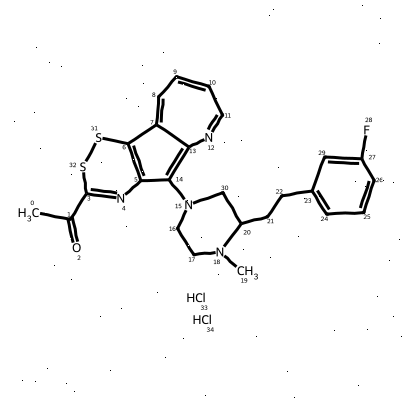 CC(=O)C1=Nc2c(c3ccccnc-3c2N2CCN(C)C(CCc3cccc(F)c3)C2)SS1.Cl.Cl